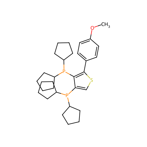 COc1ccc(-c2scc(P(C3CCCC3)C3CCCC3)c2P(C2CCCC2)C2CCCC2)cc1